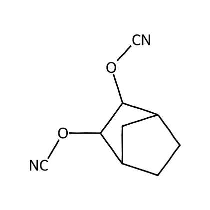 N#COC1C2CCC(C2)C1OC#N